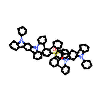 O=S12(c3ccccc3-c3c(-c4ccccc4-n4c5ccccc5c5cc6c7ccccc7n(-c7ccccc7)c6cc54)cccc31)c1ccccc1-c1c(-c3ccccc3-n3c4ccccc4c4cc5c6ccccc6n(-c6ccccc6)c5cc43)cccc12